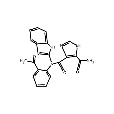 CC(=O)c1ccccc1N(C(=O)c1nc[nH]c1C(N)=O)c1nc2ccccc2[nH]1